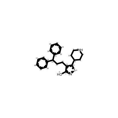 Oc1nsc(C2CCNCC2)c1CCC(c1ccccc1)c1ccccc1